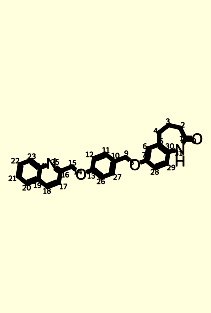 O=C1CCCc2cc(OCc3ccc(OCc4ccc5ccccc5n4)cc3)ccc2N1